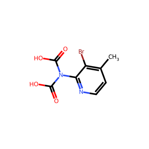 Cc1ccnc(N(C(=O)O)C(=O)O)c1Br